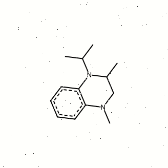 CC(C)N1c2ccccc2N(C)CC1C